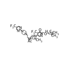 CC(=O)N(CCN1CCN(c2ncc(C(F)(F)F)cn2)CC1)OC[C@H](C)Nc1cnn(COCC[Si](C)(C)C)c(=O)c1C(F)(F)F